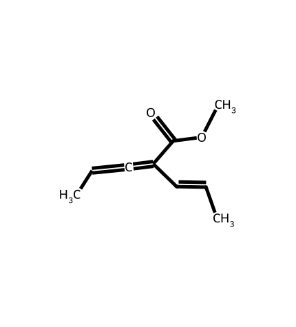 CC=C=C(C=CC)C(=O)OC